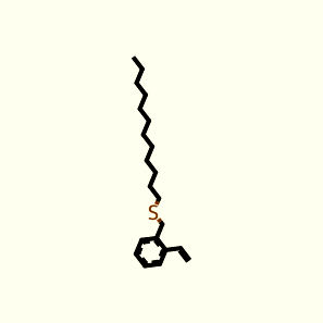 C=Cc1ccccc1CSCCCCCCCCCCCC